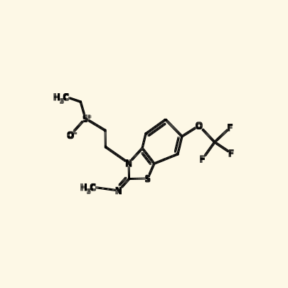 CC[S+]([O-])CCn1c(=NC)sc2cc(OC(F)(F)F)ccc21